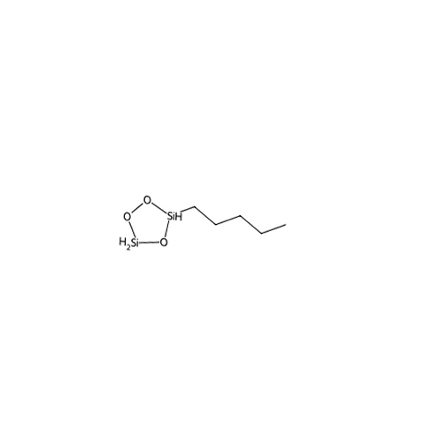 CCCCC[SiH]1OO[SiH2]O1